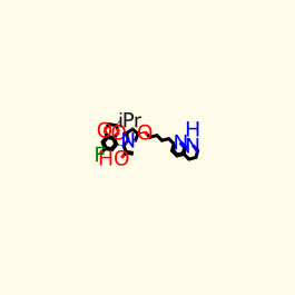 C=C(O)[C@H](c1cc(F)cc2c1O[C@@H](C(C)C)CO2)N1CC[C@@H](OCCCCc2ccc3c(n2)NCCC3)C1